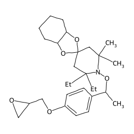 CCC1(CC)CC2(CC(C)(C)N1OC(C)c1ccc(OCC3CO3)cc1)OC1CCCCC1O2